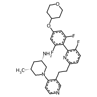 C[C@@H]1C[C@H](N)CN(c2ccncc2CCc2ccc(F)c(-c3c(F)cc(OC4CCOCC4)cc3F)n2)C1